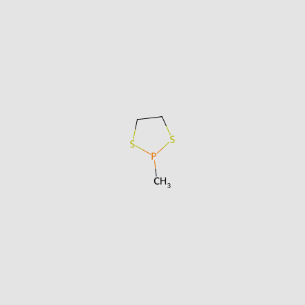 CP1SCCS1